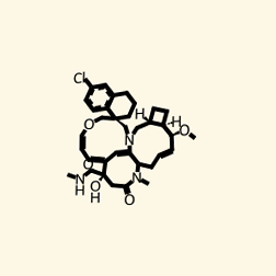 CNC(=O)[C@@]1(O)CC(=O)N(C)C2C/C=C/[C@H](OC)[C@@H]3CC[C@H]3CN3C[C@@]4(CCCc5cc(Cl)ccc54)COC=CC=C1C=C23